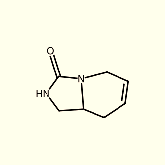 O=C1NCC2CC=CCN12